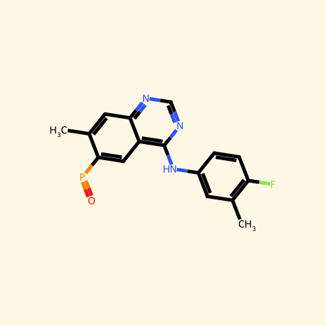 Cc1cc(Nc2ncnc3cc(C)c(P=O)cc23)ccc1F